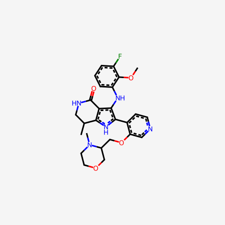 COc1c(F)cccc1Nc1c(-c2ccncc2OCC2COCCN2C)[nH]c2c1C(=O)NCC2C